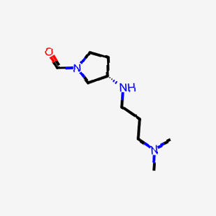 CN(C)CCCN[C@H]1CCN(C=O)C1